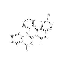 Cc1nc2ccc(Cl)cc2c(-c2ccccc2)c1C(=O)O[C@@H](C)c1ccccc1